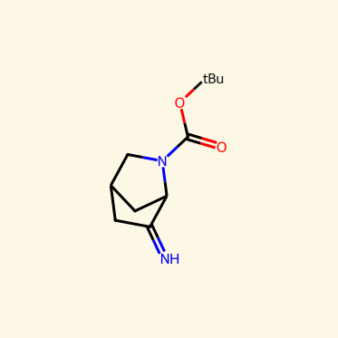 CC(C)(C)OC(=O)N1CC2CC(=N)C1C2